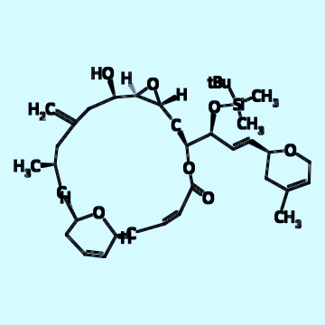 C=C1C[C@H](C)C[C@@H]2CC=C[C@@H](C/C=C\C(=O)O[C@H]([C@H](/C=C/[C@@H]3CC(C)=CCO3)O[Si](C)(C)C(C)(C)C)C[C@H]3O[C@@H]3[C@H](O)C1)O2